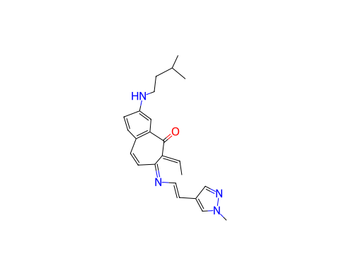 C/C=C1/C(=O)c2cc(NCCC(C)C)ccc2C=C/C1=N/C=C/c1cnn(C)c1